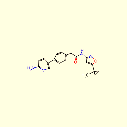 CC1(c2cc(NC(=O)Cc3ccc(-c4ccc(N)nc4)cc3)no2)CC1